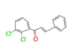 O=C(C=Cc1ccccc1)c1cccc(Cl)c1Cl